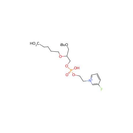 CC(C)COCC(COP(=O)(O)OCC[n+]1cccc(F)c1)OCCCCC(=O)O